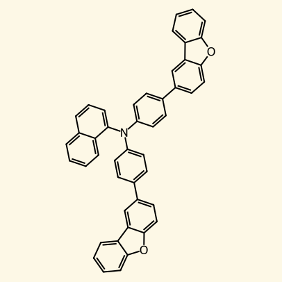 c1ccc2c(N(c3ccc(-c4ccc5oc6ccccc6c5c4)cc3)c3ccc(-c4ccc5oc6ccccc6c5c4)cc3)cccc2c1